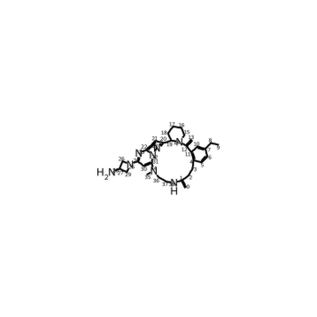 C=C1CCc2ccc(CC)cc2C(=C)N2CCCCC2c2cc3nc(N4CC(N)C4)cc(n3n2)N(C)CCN1